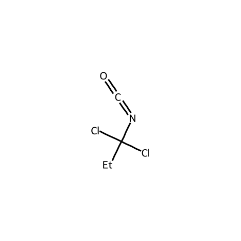 CCC(Cl)(Cl)N=C=O